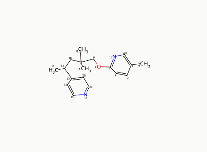 Cc1ccc(OCC(C)(C)CC(C)c2ccncc2)nc1